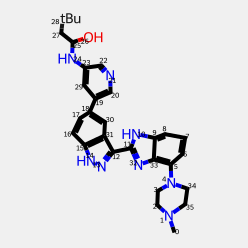 CN1CCN(c2cccc3[nH]c(-c4n[nH]c5ccc(-c6cncc(NC(O)CC(C)(C)C)c6)cc45)nc23)CC1